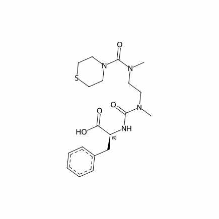 CN(CCN(C)C(=O)N1CCSCC1)C(=O)N[C@@H](Cc1ccccc1)C(=O)O